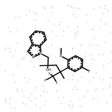 COc1ccc(F)cc1C(C)(CC(C)(O)Cn1ncc2ccccc21)C(F)(F)F